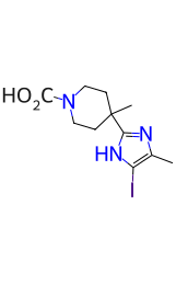 Cc1nc(C2(C)CCN(C(=O)O)CC2)[nH]c1I